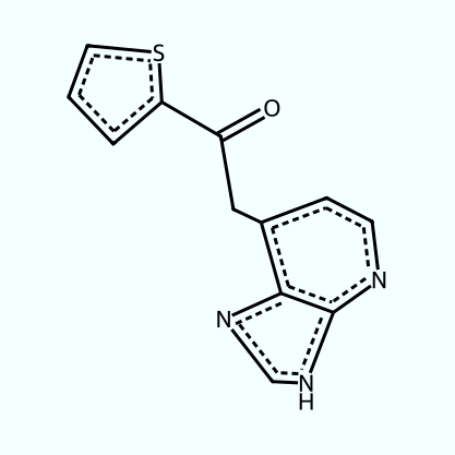 O=C(Cc1ccnc2[nH]cnc12)c1cccs1